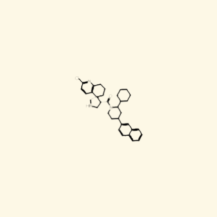 O=C([C@@H]1CNC[C@]12CCCc1nc(Cl)ccc12)N1CCC(c2ccc3ccccc3c2)CC1C1CCCCC1